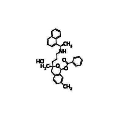 Cc1ccc2c(c1)[C@H](OC(=O)c1ccccc1)O[C@@](C)(CCCN[C@H](C)c1cccc3ccccc13)C2.Cl